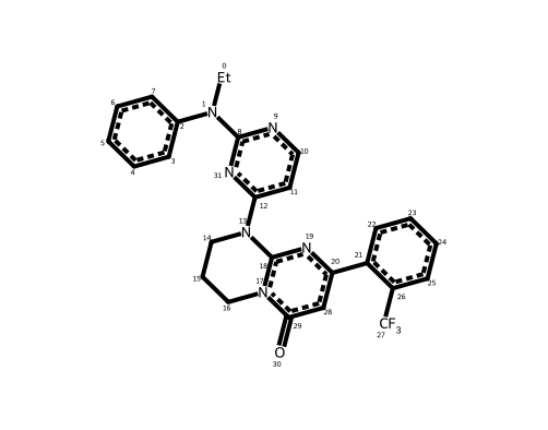 CCN(c1ccccc1)c1nccc(N2CCCn3c2nc(-c2ccccc2C(F)(F)F)cc3=O)n1